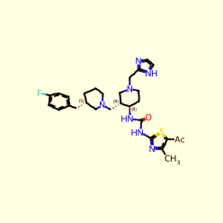 CC(=O)c1sc(NC(=O)N[C@@H]2CCN(Cc3ncc[nH]3)C[C@H]2CN2CCC[C@@H](Cc3ccc(F)cc3)C2)nc1C